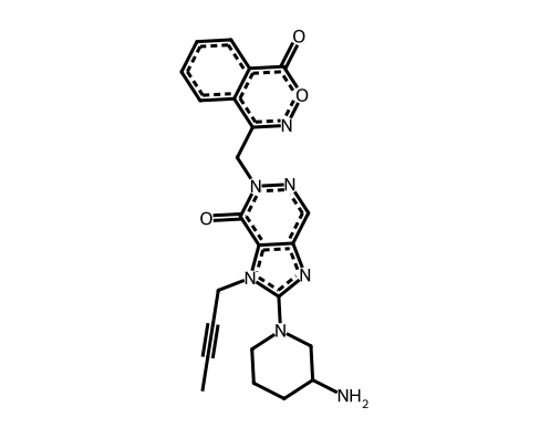 CC#CCn1c(N2CCCC(N)C2)nc2cnn(Cc3noc(=O)c4ccccc34)c(=O)c21